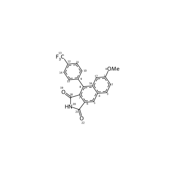 COc1ccc2cc3c(c(-c4ccc(C(F)(F)F)cc4)c2c1)C(=O)NC3=O